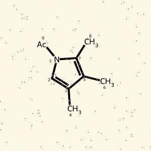 CC(=O)n1cc(C)c(C)c1C